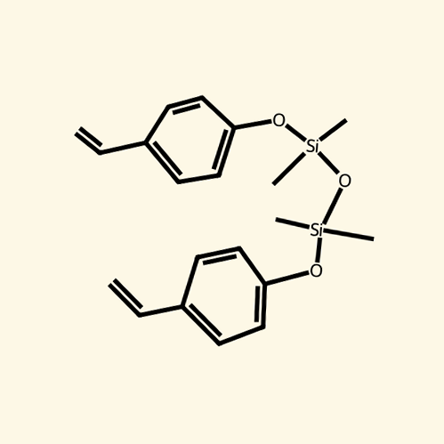 C=Cc1ccc(O[Si](C)(C)O[Si](C)(C)Oc2ccc(C=C)cc2)cc1